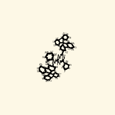 c1ccc(-c2nc(-c3ccc4c(c3)-c3ccccc3C43c4ccccc4-c4ccccc43)nc(N3c4ccccc4Sc4c3ccc3c4-c4ccccc4C34c3ccccc3-c3ccccc34)n2)cc1